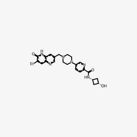 CCc1cc2ncc(CN3CCN(c4ccc(C(=O)N[C@H]5C[C@@H](O)C5)nc4)CC3)cc2[nH]c1=O